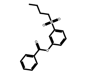 CCCCS(=O)(=O)c1cccc(OC(=O)c2ccccc2)c1